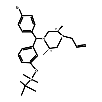 C=CCN1C[C@H](C)N(C(c2ccc(Br)cc2)c2cccc(O[Si](C)(C)C(C)(C)C)c2)C[C@H]1C